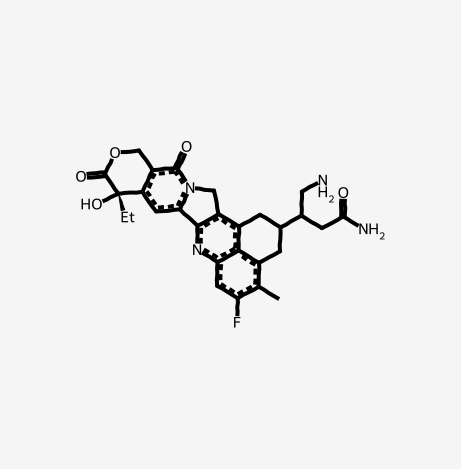 CC[C@@]1(O)C(=O)OCc2c1cc1n(c2=O)Cc2c-1nc1cc(F)c(C)c3c1c2CC(C(CN)CC(N)=O)C3